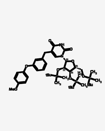 COc1ccc(Oc2cccc(Cc3cn([C@@H]4O[C@H](CO[Si](C)(C)C(C)(C)C)[C@@H](O[Si](C)(C)C(C)(C)C)[C@H]4O[Si](C)(C)C(C)(C)C)c(=O)[nH]c3=O)c2)cc1